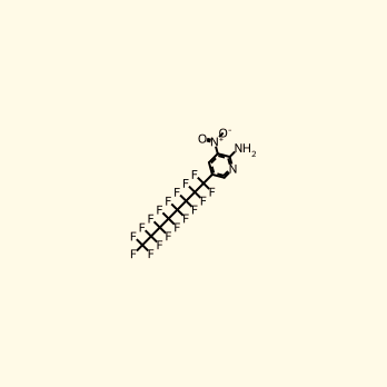 Nc1ncc(C(F)(F)C(F)(F)C(F)(F)C(F)(F)C(F)(F)C(F)(F)C(F)(F)C(F)(F)F)cc1[N+](=O)[O-]